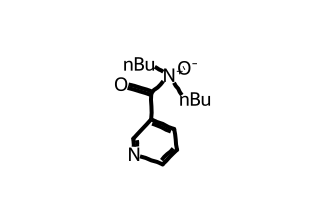 CCCC[N+]([O-])(CCCC)C(=O)c1cccnc1